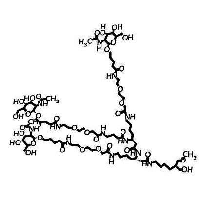 COCC(CO)CCCCNC(=O)C[C@H](CCCCNC(=O)COCCOCCNC(=O)CCCCO[C@@H]1OC(CO)[C@H](O)[C@H](O)C1NC(C)=O)NC(=O)C[C@H](CCCCNC(=O)COCCOCCNC(=O)CCCCO[C@@H]1OC(CO)[C@H](O)[C@H](O)C1NC(C)=O)NC(=O)CCCNC(=O)COCCOCCNC(=O)CCCCO[C@@H]1OC(CO)[C@H](O)[C@H](O)C1NC(C)=O